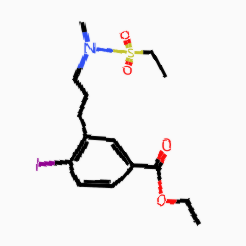 CCOC(=O)c1ccc(I)c(CCCN(C)S(=O)(=O)CC)c1